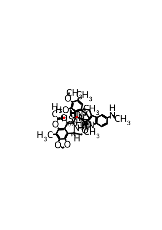 CNc1ccc2[nH]c3c(c2c1)CCN[C@]31CS[C@@H]2c3c(OC(C)=O)c(C)c4c(c3[C@H](COC1=O)N1[C@@H]2[C@@H]2c3c(cc(C)c(OC)c3O)C3(C)C[C@H]([C@@H]1C)N23)OCO4